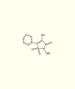 CCCCN1C(=O)C(O)=C(c2ccccc2)S1(=O)=O